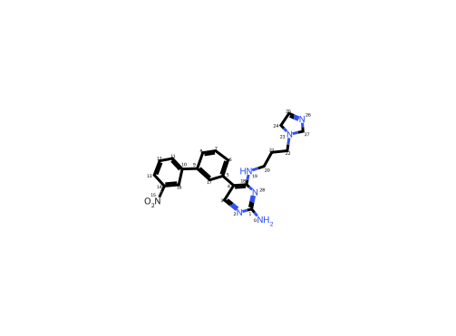 Nc1ncc(-c2cccc(-c3cccc([N+](=O)[O-])c3)c2)c(NCCCN2CC=NC2)n1